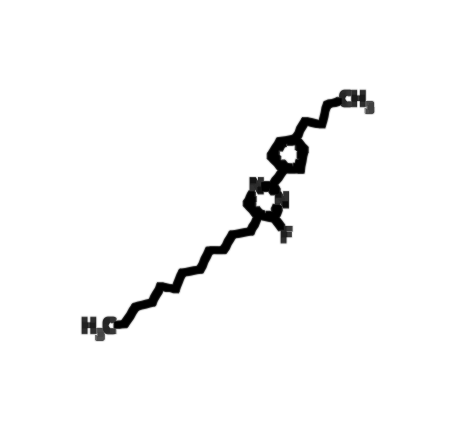 CCCCCCCCCCCCc1cnc(-c2ccc(CCCC)cc2)nc1F